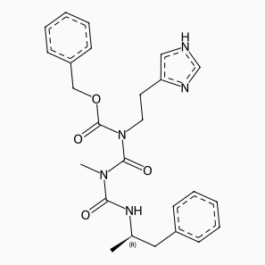 C[C@H](Cc1ccccc1)NC(=O)N(C)C(=O)N(CCc1c[nH]cn1)C(=O)OCc1ccccc1